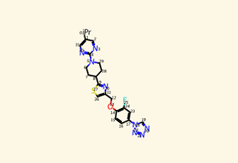 CC(C)c1cnc(N2CCC(c3nc(COc4ccc(-n5cnnn5)cc4F)cs3)CC2)nc1